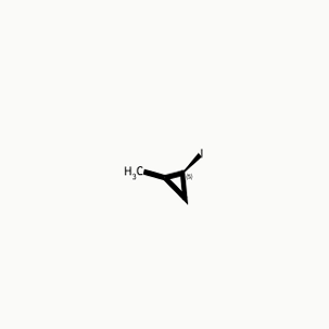 CC1C[C@@H]1I